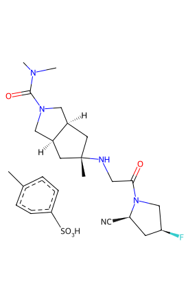 CN(C)C(=O)N1C[C@@H]2C[C@@](C)(NCC(=O)N3C[C@@H](F)C[C@H]3C#N)C[C@@H]2C1.Cc1ccc(S(=O)(=O)O)cc1